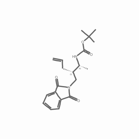 C=CC[C@@H](CN1C(=O)c2ccccc2C1=O)[C@@H](C)NC(=O)OC(C)(C)C